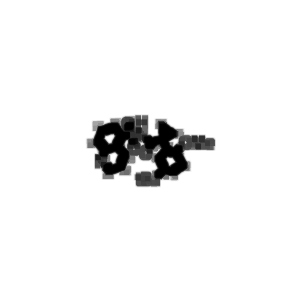 COc1ccc(C(C)(C)C)cc1C1(C(=O)NS(=O)(=O)c2cccc3ncccc23)CC1